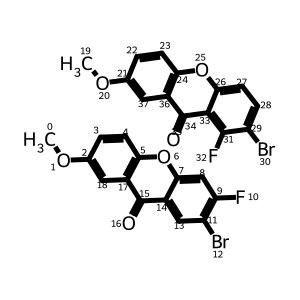 COc1ccc2oc3cc(F)c(Br)cc3c(=O)c2c1.COc1ccc2oc3ccc(Br)c(F)c3c(=O)c2c1